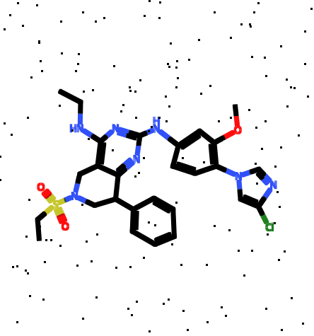 CCNc1nc(Nc2ccc(-n3cnc(Cl)c3)c(OC)c2)nc2c1CN(S(=O)(=O)CC)CC2c1ccccc1